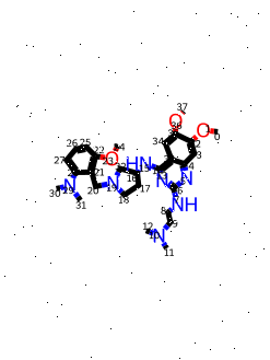 COc1cc2nc(NCCN(C)C)nc(N[C@H]3CCN(Cc4c(OC)cccc4N(C)C)C3)c2cc1OC